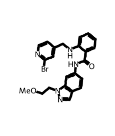 COCCn1ncc2ccc(NC(=O)c3ccccc3NCc3ccnc(Br)c3)cc21